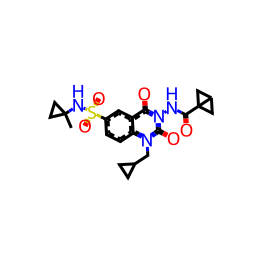 CC1(NS(=O)(=O)c2ccc3c(c2)c(=O)n(NC(=O)C24CC2C4)c(=O)n3CC2CC2)CC1